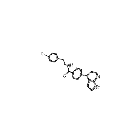 O=C(NCCc1ccc(F)cc1)c1ccc(-c2ccnc3[nH]ccc23)cc1